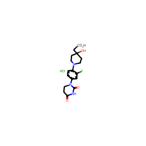 Cl.O=C(O)CC1(O)CCN(c2ccc(N3CCC(=O)NC3=O)cc2F)CC1